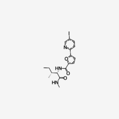 CC[C@@H](C)[C@H](NC(=O)c1ccc(-c2ccc(I)cn2)o1)C(=O)NC